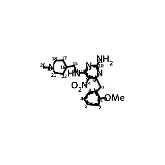 COc1ccccc1Cc1nc(N)nc(NCC2CCN(C)CC2)c1[N+](=O)[O-]